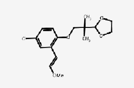 COC=Cc1cc(Cl)ccc1OCC(C)(C)C1OCCO1